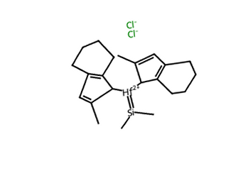 CC1=CC2=C(CCCC2)[CH]1[Hf+2]([CH]1C(C)=CC2=C1CCCC2)=[Si](C)C.[Cl-].[Cl-]